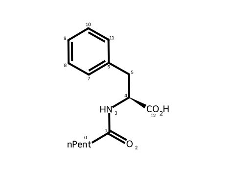 CCCCCC(=O)N[C@@H](Cc1ccccc1)C(=O)O